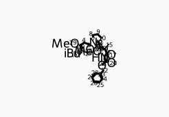 CC[C@H](C)[C@H](C)[C@@H](CC(=O)N1CCC[C@H]1[C@H](OC)[C@@H](C)C(=O)NC(=O)OCc1ccccc1)OC